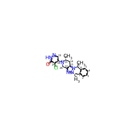 Cc1ccccc1[C@H](C)n1nnc2c1C[C@@H](C)N(c1cn[nH]c(=O)c1Cl)C2